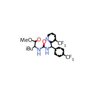 CCC(C)C(NC(=O)NC(c1ccc(C(F)(F)F)cc1)c1ncccc1C(F)(F)F)C(=O)OC